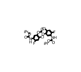 CC(C)OC(=O)Nc1cc(OC(=O)Oc2cc(NC(=O)OC(C)C)c(F)cc2Cl)c(Cl)cc1F